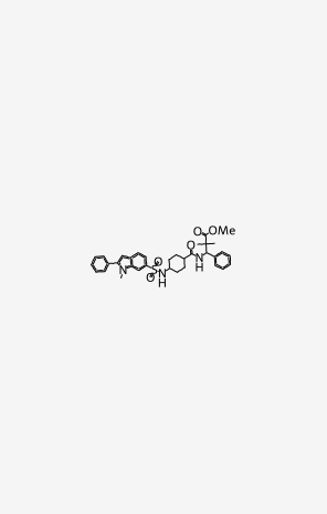 COC(=O)C(C)(C)C(NC(=O)C1CCC(NS(=O)(=O)c2ccc3cc(-c4ccccc4)n(C)c3c2)CC1)c1ccccc1